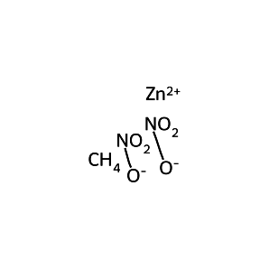 C.O=[N+]([O-])[O-].O=[N+]([O-])[O-].[Zn+2]